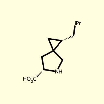 CC(C)C[C@H]1CC12CN[C@H](C(=O)O)C2